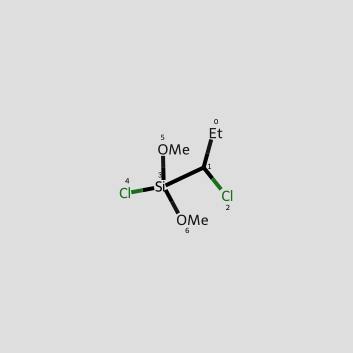 CCC(Cl)[Si](Cl)(OC)OC